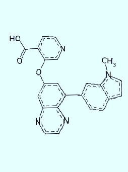 Cn1ccc2ccc(-c3cc(Oc4cnccc4C(=O)O)cc4nccnc34)cc21